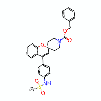 CC(C)S(=O)(=O)Nc1ccc(C2=CC3(CCN(C(=O)OCc4ccccc4)CC3)Oc3ccccc32)cc1